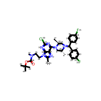 [2H]c1nc2c(N3C[C@@H](C)N(C(c4ccc(F)cc4)c4ccc(F)cc4)C[C@@H]3C)nc(Cl)nc2n1CCN(C)C(=O)OC(C)(C)C